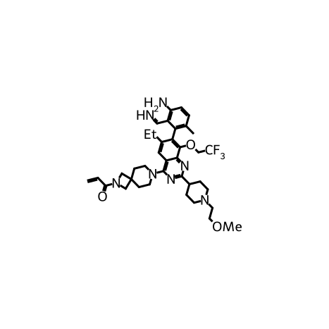 C=CC(=O)N1CC2(CCN(c3nc(C4CCN(CCOC)CC4)nc4c(OCC(F)(F)F)c(-c5c(C)ccc(N)c5C=N)c(CC)cc34)CC2)C1